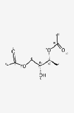 CC(=O)OC[C@@H](O)[C@H](C)OC(C)=O